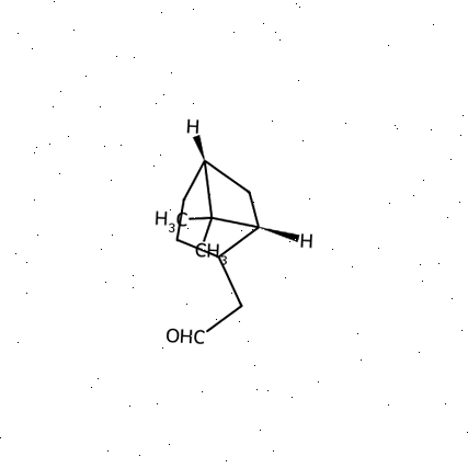 CC1(C)[C@@H]2CCC(CC=O)[C@H]1C2